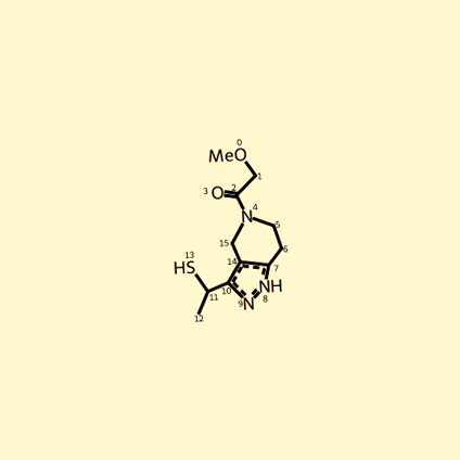 COCC(=O)N1CCc2[nH]nc(C(C)S)c2C1